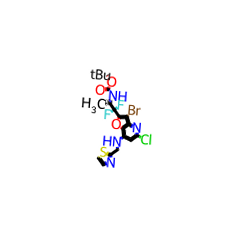 C[C@H](NC(=O)OC(C)(C)C)C(F)(F)c1oc2c(NCc3nccs3)cc(Cl)nc2c1Br